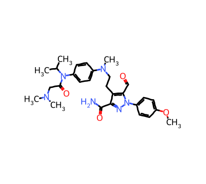 COc1ccc(-n2nc(C(N)=O)c(CCN(C)c3ccc(N(C(=O)CN(C)C)C(C)C)cc3)c2C=O)cc1